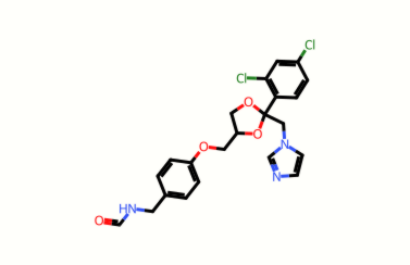 O=CNCc1ccc(OCC2COC(Cn3ccnc3)(c3ccc(Cl)cc3Cl)O2)cc1